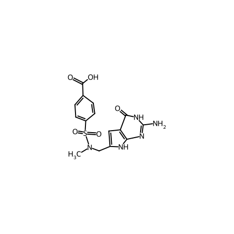 CN(Cc1cc2c(=O)[nH]c(N)nc2[nH]1)S(=O)(=O)c1ccc(C(=O)O)cc1